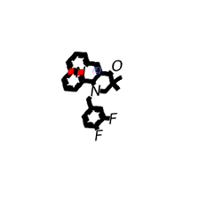 CC1(C)CN(Cc2ccc(F)c(F)c2)C(c2ccccc2)/C(=C\c2ccccn2)C1=O